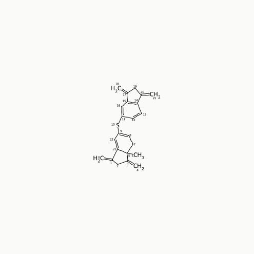 C=C1CC(=C)C2(C)CC=C(Sc3ccc4c(c3)C(=C)CC4=C)C=C12